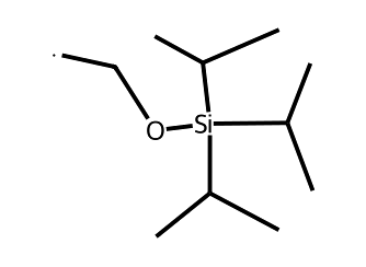 [CH2]CO[Si](C(C)C)(C(C)C)C(C)C